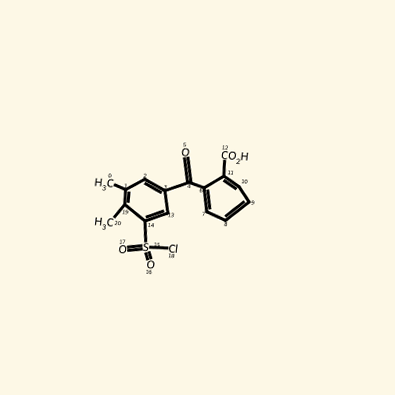 Cc1cc(C(=O)c2ccccc2C(=O)O)cc(S(=O)(=O)Cl)c1C